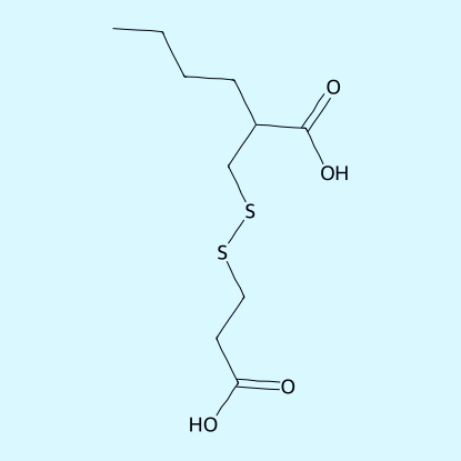 CCCCC(CSSCCC(=O)O)C(=O)O